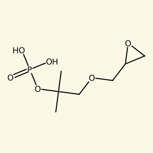 CC(C)(COCC1CO1)OP(=O)(O)O